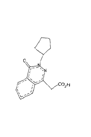 O=C(O)Cc1nn(C2CCCC2)c(=O)c2ccccc12